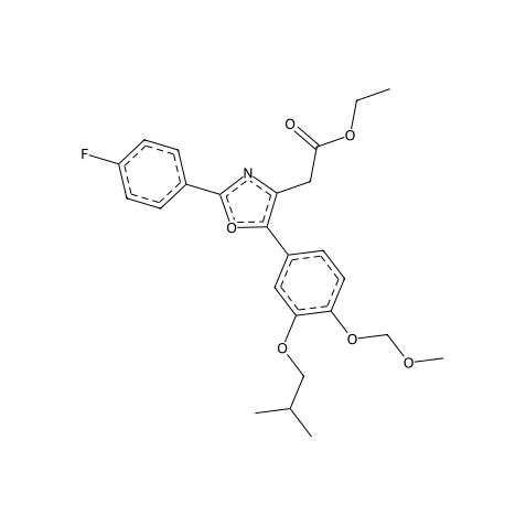 CCOC(=O)Cc1nc(-c2ccc(F)cc2)oc1-c1ccc(OCOC)c(OCC(C)C)c1